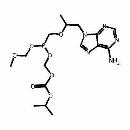 COCOP(COC(C)Cn1cnc2c(N)ncnc21)OCOC(=O)OC(C)C